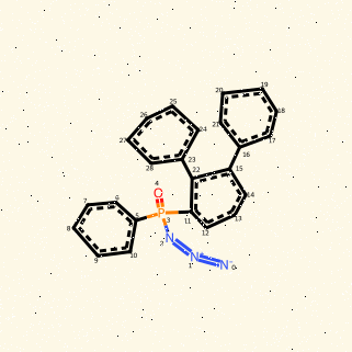 [N-]=[N+]=NP(=O)(c1ccccc1)c1cccc(-c2ccccc2)c1-c1ccccc1